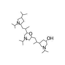 CC(C)C1CC(CC(C)C2CN(C(C)C)CC(CC(C)C3CC(O)CN(C(C)C)C3)O2)N(C(C)C)C1